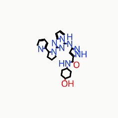 O=C(NC1CCC(O)CC1)c1cc(Nc2nc(N3CCCC3c3ccccn3)nc3cccn23)n[nH]1